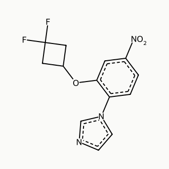 O=[N+]([O-])c1ccc(-n2ccnc2)c(OC2CC(F)(F)C2)c1